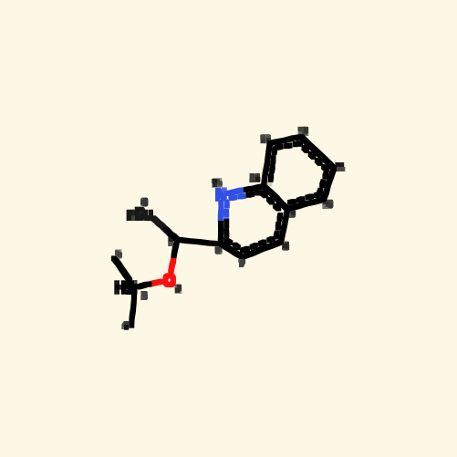 CCCCC(O[SiH](C)C)c1ccc2ccccc2n1